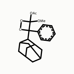 COC1(OC(C)=O)OOC1(c1ccccc1)C1C2CC3CC(C2)CC1C3